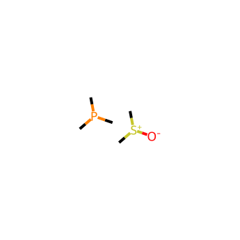 CP(C)C.C[S+](C)[O-]